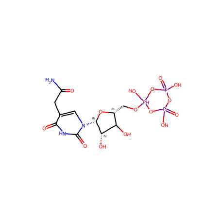 NC(=O)Cc1cn([C@@H]2O[C@H](CO[PH]3(O)OP(=O)(O)OP(=O)(O)O3)C(O)[C@@H]2O)c(=O)[nH]c1=O